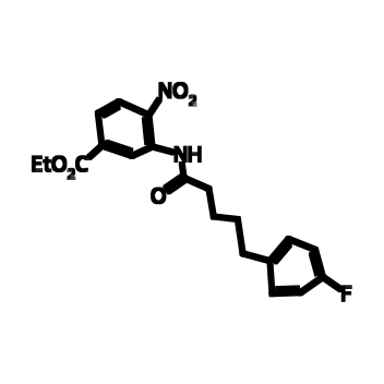 CCOC(=O)c1ccc([N+](=O)[O-])c(NC(=O)CCCCc2ccc(F)cc2)c1